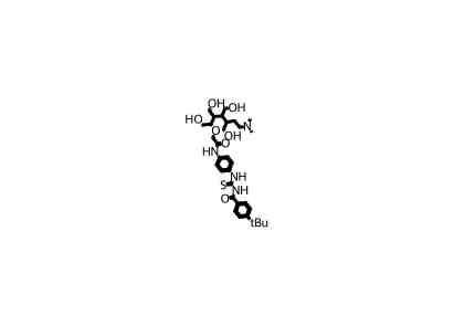 CN(C)CCC(CO)C(CO)C(CO)C(CO)OCC(=O)Nc1ccc(NC(=S)NC(=O)c2ccc(C(C)(C)C)cc2)cc1